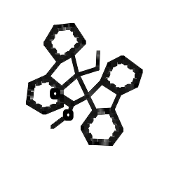 CCC1(C2(C(=O)OC)c3ccccc3-c3ccccc32)c2ccccc2-c2ccccc21